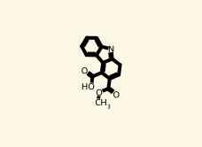 COC(=O)C1=CCC2=Nc3ccccc3C2=C1C(=O)O